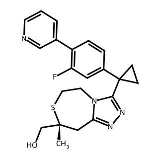 C[C@]1(CO)Cc2nnc(C3(c4ccc(-c5cccnc5)c(F)c4)CC3)n2CCS1